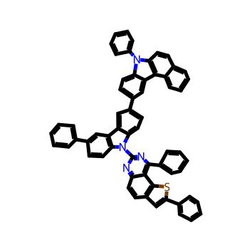 c1ccc(-c2ccc3c(c2)c2cc(-c4ccc5c(c4)c4c6ccccc6ccc4n5-c4ccccc4)ccc2n3-c2nc(-c3ccccc3)c3c(ccc4cc(-c5ccccc5)sc43)n2)cc1